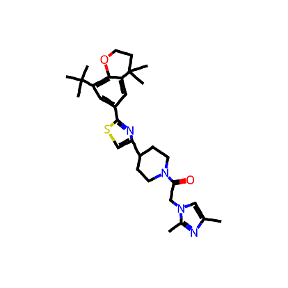 Cc1cn(CC(=O)N2CCC(c3csc(-c4cc(C(C)(C)C)c5c(c4)C(C)(C)CCO5)n3)CC2)c(C)n1